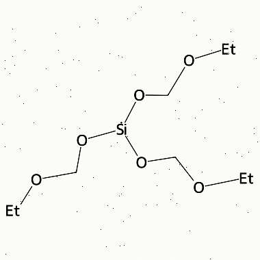 CCOCO[Si](OCOCC)OCOCC